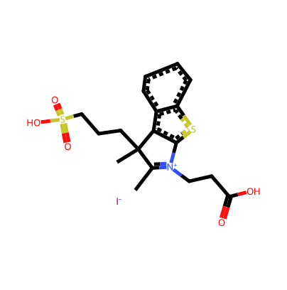 CC1=[N+](CCC(=O)O)c2sc3ccccc3c2C1(C)CCCS(=O)(=O)O.[I-]